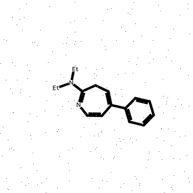 CCN(CC)C1=NC=CC(c2ccccc2)=CC1